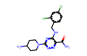 NC(=O)c1nnc(N2CCC(N)CC2)nc1NCc1ccc(Cl)cc1Cl